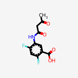 CC(=O)CC(=O)Nc1cc(C(=O)O)c(F)cc1F